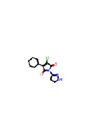 O=C1C(Cl)=C(C2CCCCC2)C(=O)N1C1=NNCC1